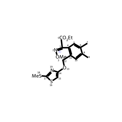 CCOC(=O)/C(=N/OC)c1cc(C)c(C)cc1COc1csc(SC)n1